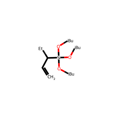 C=CC(CC)[Si](OC(C)CC)(OC(C)CC)OC(C)CC